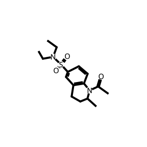 CCN(CC)S(=O)(=O)c1ccc2c(c1)CCC(C)N2C(C)=O